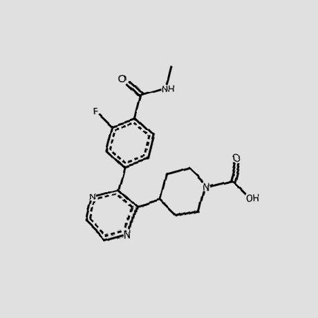 CNC(=O)c1ccc(-c2nccnc2C2CCN(C(=O)O)CC2)cc1F